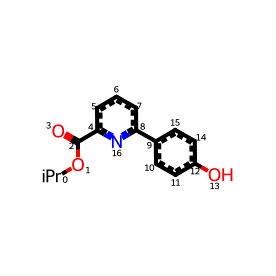 CC(C)OC(=O)c1cccc(-c2ccc(O)cc2)n1